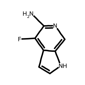 Nc1ncc2[nH]ccc2c1F